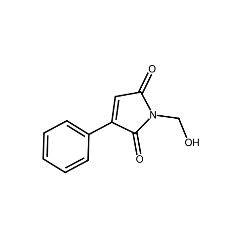 O=C1C=C(c2ccccc2)C(=O)N1CO